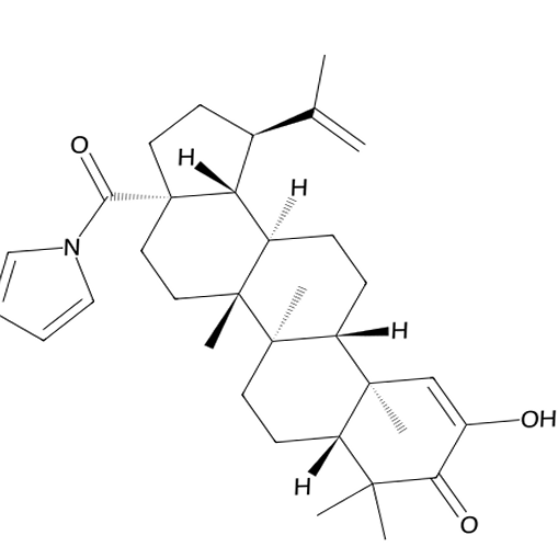 C=C(C)[C@@H]1CC[C@]2(C(=O)n3ccnc3)CC[C@]3(C)[C@H](CC[C@@H]4[C@@]5(C)C=C(O)C(=O)C(C)(C)[C@@H]5CC[C@]43C)[C@@H]12